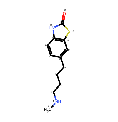 CNCCCCc1ccc2[nH]c(=O)sc2c1